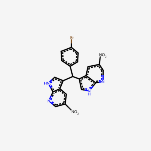 O=[N+]([O-])c1cnc2[nH]cc(C(c3ccc(Br)cc3)c3c[nH]c4ncc([N+](=O)[O-])cc34)c2c1